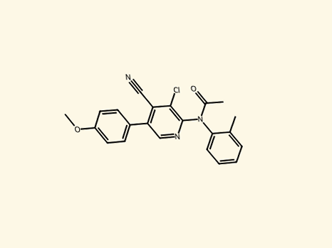 COc1ccc(-c2cnc(N(C(C)=O)c3ccccc3C)c(Cl)c2C#N)cc1